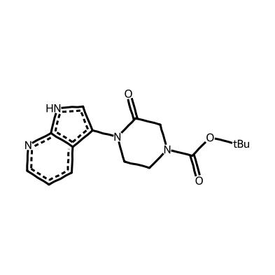 CC(C)(C)OC(=O)N1CCN(c2c[nH]c3ncccc23)C(=O)C1